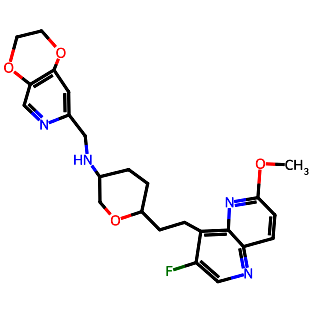 COc1ccc2ncc(F)c(CCC3CCC(NCc4cc5c(cn4)OCCO5)CO3)c2n1